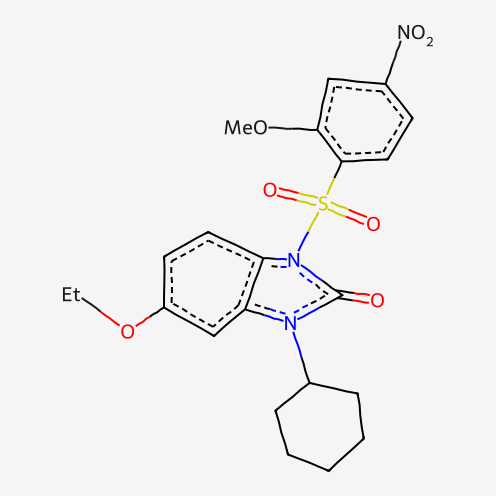 CCOc1ccc2c(c1)n(C1CCCCC1)c(=O)n2S(=O)(=O)c1ccc([N+](=O)[O-])cc1OC